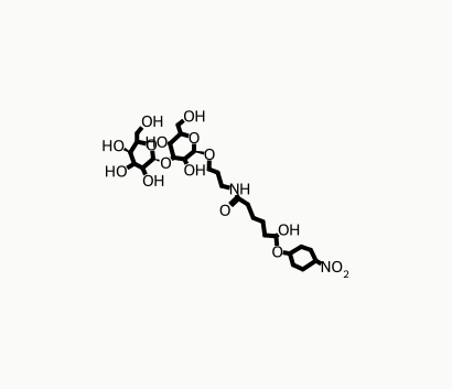 O=C(CCCCC(O)OC1CCC([N+](=O)[O-])CC1)NCCCO[C@@H]1OC(CO)[C@H](O)C(O[C@H]2OC(CO)[C@H](O)C(O)C2O)C1O